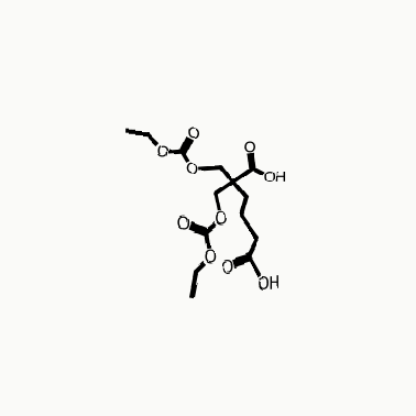 CCOC(=O)OCC(CCCC(=O)O)(COC(=O)OCC)C(=O)O